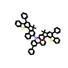 CC1(C)c2cc(N(c3ccc(-c4ccccc4)cc3-c3ccccc3)c3cc4c(c5ccccc35)-c3c(cc(-c5ccccc5)c5c3sc3ccccc35)C4(C)C)ccc2-c2c1cc(-c1ccccc1)c1c2sc2ccccc21